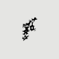 Fc1cnc(N2CC3(CC(c4nnc5n4-c4ccc(Cl)cc4CN(CC4(F)CC4)C5)C3)C2)c(F)c1